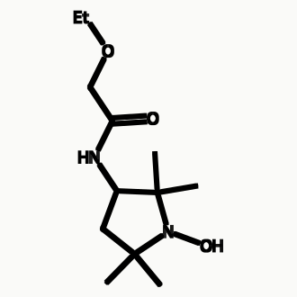 CCOCC(=O)NC1CC(C)(C)N(O)C1(C)C